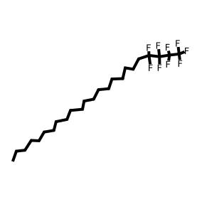 CCCCCCCCCCCCCCCCCCCCC(F)(F)C(F)(F)C(F)(F)C(F)(F)F